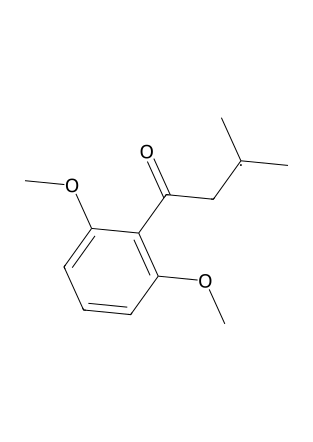 COc1cccc(OC)c1C(=O)C[C](C)C